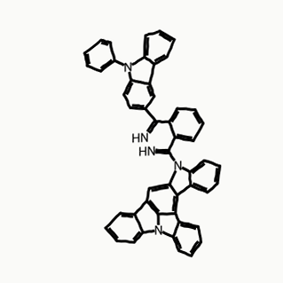 N=C(c1ccc2c(c1)c1ccccc1n2-c1ccccc1)c1ccccc1C(=N)n1c2ccccc2c2c3c4ccccc4n4c5ccccc5c(cc21)c34